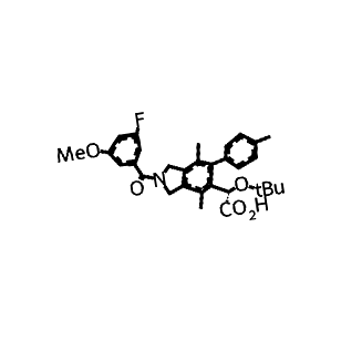 COc1cc(F)cc(C(=O)N2Cc3c(C)c(-c4ccc(C)cc4)c([C@H](OC(C)(C)C)C(=O)O)c(C)c3C2)c1